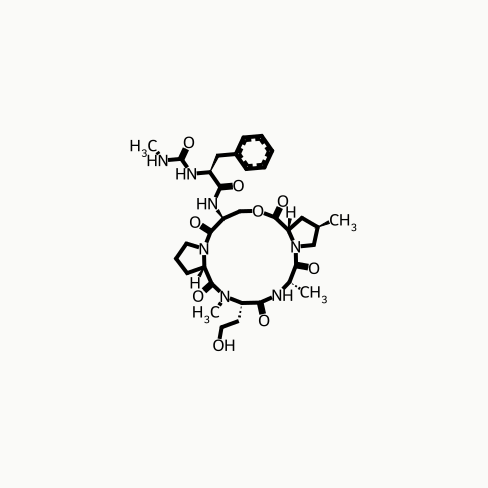 CNC(=O)N[C@@H](Cc1ccccc1)C(=O)N[C@H]1COC(=O)[C@@H]2C[C@@H](C)CN2C(=O)[C@H](C)NC(=O)[C@H](CCO)N(C)C(=O)[C@@H]2CCCN2C1=O